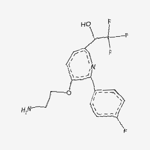 NCCOc1ccc(C(O)C(F)(F)F)nc1-c1ccc(F)cc1